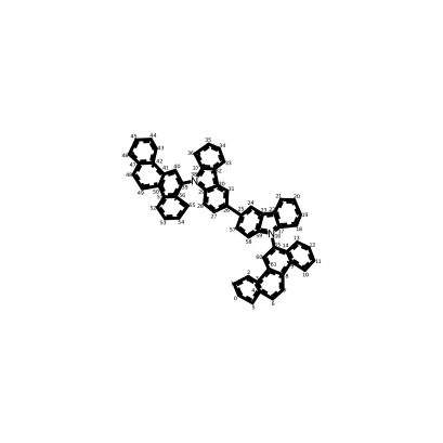 c1ccc2c(c1)ccc1c3ccccc3c(-n3c4ccccc4c4cc(-c5ccc6c(c5)c5ccccc5n6-c5cc6c7ccccc7ccc6c6ccccc56)ccc43)cc21